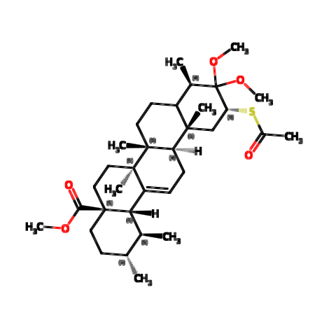 COC(=O)[C@]12CC[C@@H](C)[C@H](C)[C@H]1C1=CC[C@@H]3[C@@]4(C)C[C@@H](SC(C)=O)C(OC)(OC)[C@H](C)C4CC[C@@]3(C)[C@]1(C)CC2